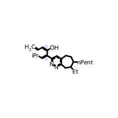 C=C/C=C(O)\C(=C/C(C)C)c1cc2c(nn1)CC(CC)C(CCCCC)CC2